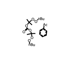 CC(=O)c1ccccc1.CCCCOOC(C)(C)OC(=O)OC(C)(C)OOCCCC